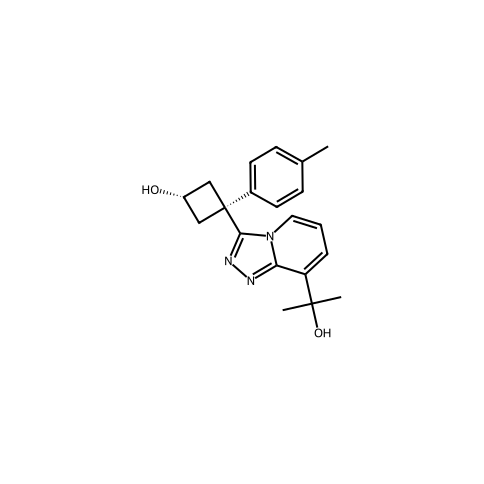 Cc1ccc([C@]2(c3nnc4c(C(C)(C)O)cccn43)C[C@H](O)C2)cc1